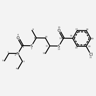 CCN(CC)C(=O)SC(C)CC(C)SC(=O)c1cccc(Cl)c1